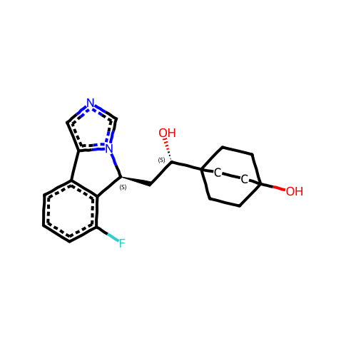 O[C@@H](C[C@H]1c2c(F)cccc2-c2cncn21)C12CCC(O)(CC1)CC2